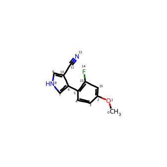 COc1ccc(-c2c[nH]cc2C#N)c(F)c1